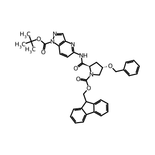 CC(C)(C)OC(=O)n1ncc2nc(NC(=O)[C@H]3C[C@H](OCc4ccccc4)CN3C(=O)OCC3c4ccccc4-c4ccccc43)ccc21